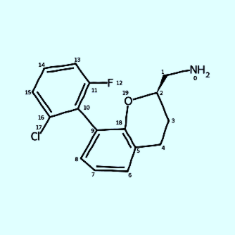 NC[C@H]1CCc2cccc(-c3c(F)cccc3Cl)c2O1